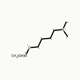 CN(C)CCCCON(C)O